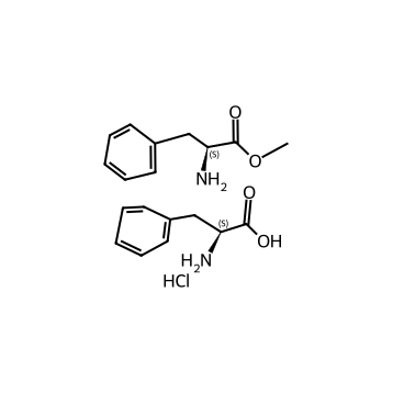 COC(=O)[C@@H](N)Cc1ccccc1.Cl.N[C@@H](Cc1ccccc1)C(=O)O